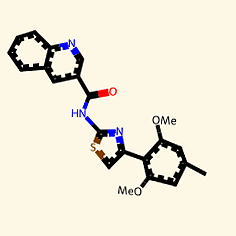 COc1cc(C)cc(OC)c1-c1csc(NC(=O)c2cnc3ccccc3c2)n1